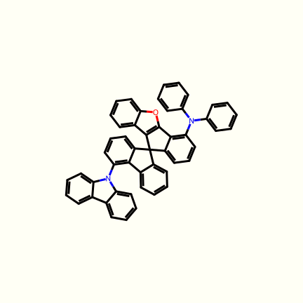 c1ccc(N(c2ccccc2)c2cccc3c2-c2oc4ccccc4c2C32c3ccccc3-c3c(-n4c5ccccc5c5ccccc54)cccc32)cc1